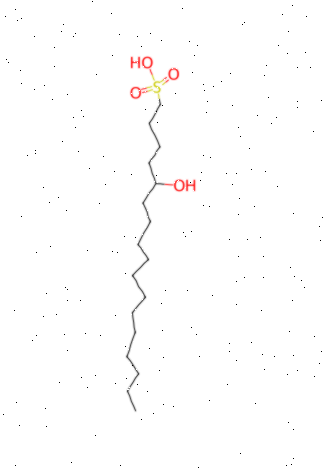 CCCCCCCCCCCCC(O)CCCCS(=O)(=O)O